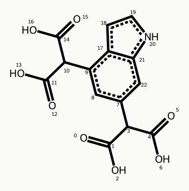 O=C(O)C(C(=O)O)c1cc(C(C(=O)O)C(=O)O)c2cc[nH]c2c1